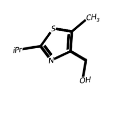 Cc1sc(C(C)C)nc1CO